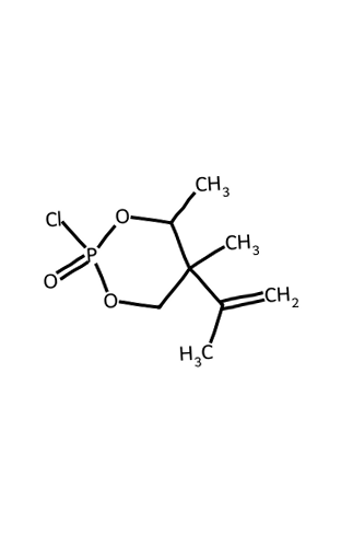 C=C(C)C1(C)COP(=O)(Cl)OC1C